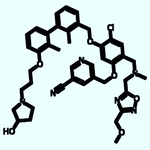 COCc1noc(CN(C)Cc2cc(Cl)c(OCc3cccc(-c4cccc(OCCCN5CCC(O)C5)c4C)c3C)cc2OCc2cncc(C#N)c2)n1